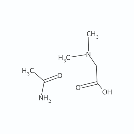 CC(N)=O.CN(C)CC(=O)O